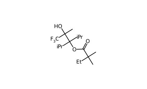 CCC(C)(C)C(=O)OC(C(C)C)(C(C)C)C(C)(O)C(F)(F)F